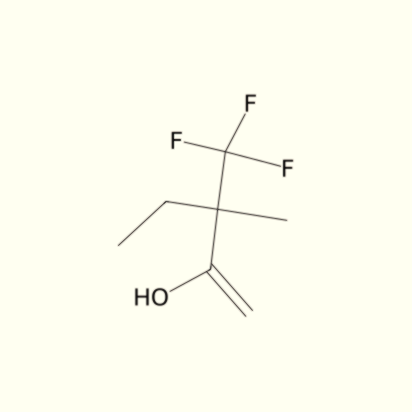 C=C(O)C(C)(CC)C(F)(F)F